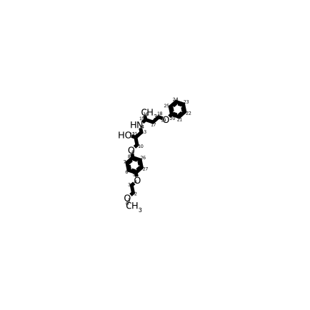 COCCOc1ccc(OCC(O)CNC(C)CCOc2ccccc2)cc1